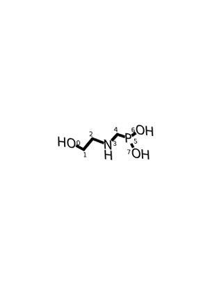 OCCNCP(O)O